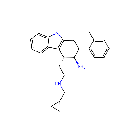 Cc1ccccc1[C@H]1Cc2[nH]c3ccccc3c2[C@@H](CCNCC2CC2)[C@@H]1N